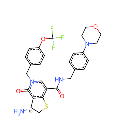 N[C@H]1CSc2c(C(=O)NCc3ccc(N4CCOCC4)cc3)cn(Cc3ccc(OC(F)(F)F)cc3)c(=O)c21